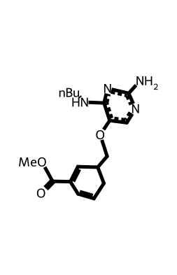 CCCCNc1nc(N)ncc1OCC1C=C(C(=O)OC)C=CC1